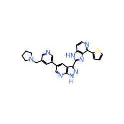 c1csc(-c2nccc3[nH]c(-c4n[nH]c5ncc(-c6cncc(CN7CCCC7)c6)cc45)nc23)c1